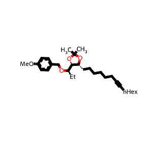 CCCCCCC#CCCCCCC[C@H]1OC(C)(C)O[C@H]1[C@@H](CC)OCc1ccc(OC)cc1